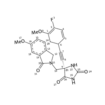 COC1=C(F)C=CC(C#C[C@]2(CN3Cc4ccc(OC)cc4C3=O)NC(=O)NC2=O)C1